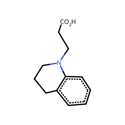 O=C(O)CCN1CCCc2ccccc21